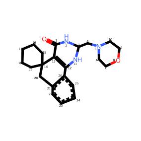 O=C1NC(CN2CCOCC2)NC2=C1C1(CCCCC1)Cc1ccccc12